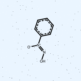 [O-]/[N+](=N\O)c1ccccc1